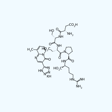 Cc1cccn2c(=O)c(-c3nnn[nH]3)cnc12.N=C(N)NCCC[C@H](NC(=O)[C@@H]1CCCN1C(=O)[C@H](CC(=O)O)NC(=O)[C@H](CO)NC(=O)[C@@H](N)CC(=O)O)C(=O)O.[KH]